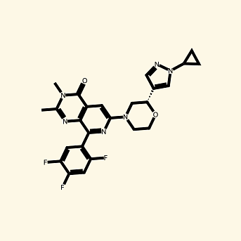 Cc1nc2c(-c3cc(F)c(F)cc3F)nc(N3CCO[C@@H](c4cnn(C5CC5)c4)C3)cc2c(=O)n1C